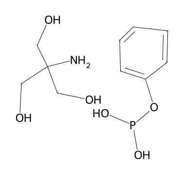 NC(CO)(CO)CO.OP(O)Oc1ccccc1